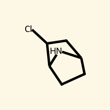 ClC1CC2CCC1N2